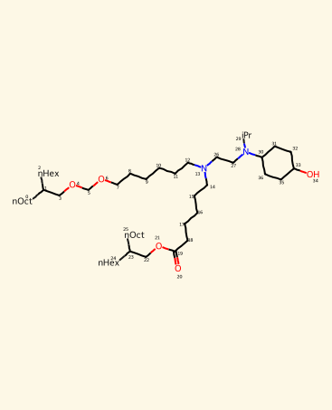 CCCCCCCCC(CCCCCC)COCOCCCCCCN(CCCCCC(=O)OCC(CCCCCC)CCCCCCCC)CCN(C(C)C)C1CCC(O)CC1